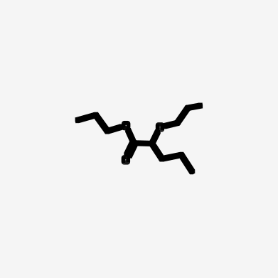 CCCOC(=O)C(CCC)OCCC